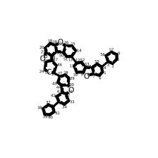 c1ccc(-c2ccc3oc4ccc(-c5ccc6oc7ccc8oc9ccc(-c%10ccc%11oc%12ccc(-c%13ccccc%13)cc%12c%11c%10)cc9c8c7c6c5)cc4c3c2)cc1